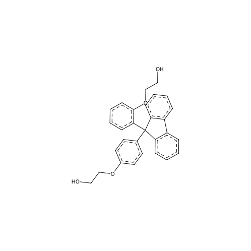 OCCOc1ccc(C2(c3ccccc3OCCO)c3ccccc3-c3ccccc32)cc1